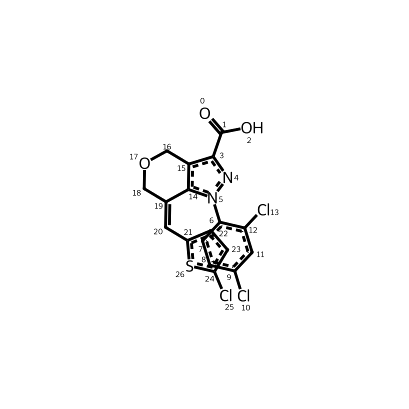 O=C(O)c1nn(-c2ccc(Cl)cc2Cl)c2c1COC/C2=C/c1ccc(Cl)s1